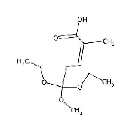 CCOC(CC=C(C)C(=O)O)(OC)OCC